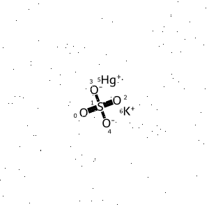 O=S(=O)([O-])[O-].[Hg+].[K+]